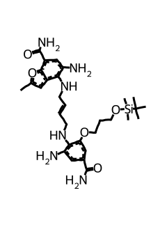 Cc1cc2c(NCC=CCNc3c(N)cc(C(N)=O)cc3OCCCO[Si](C)(C)C(C)(C)C)c(N)cc(C(N)=O)c2o1